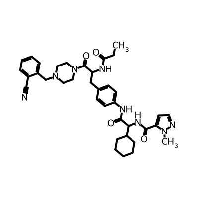 CCC(=O)NC(Cc1ccc(NC(=O)C(NC(=O)c2ccnn2C)C2CCCCC2)cc1)C(=O)N1CCN(Cc2ccccc2C#N)CC1